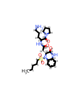 CCCCCS(=O)(=O)N1c2ccccc2NC(=O)[C@H]1CC(=O)NC(CCCN)C(=O)N1CCCC1